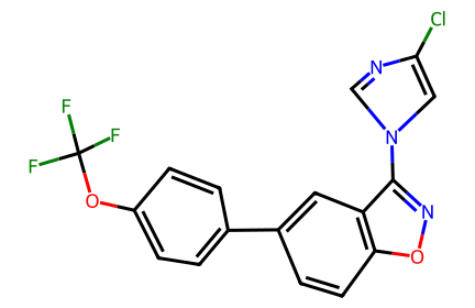 FC(F)(F)Oc1ccc(-c2ccc3onc(-n4cnc(Cl)c4)c3c2)cc1